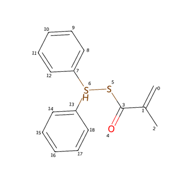 C=C(C)C(=O)S[SH](c1ccccc1)c1ccccc1